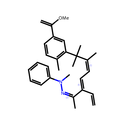 C=CC(=C\C=C(\C)C(C)(C)c1cc(C(=C)OC)ccc1C)/C(C)=N\N(C)c1ccccc1